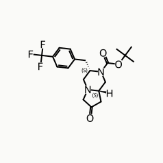 CC(C)(C)OC(=O)N1C[C@@H]2CC(=O)CN2C[C@@H]1Cc1ccc(C(F)(F)F)cc1